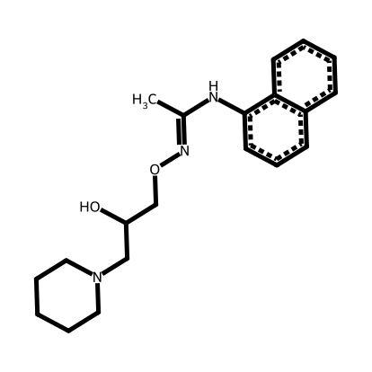 CC(=NOCC(O)CN1CCCCC1)Nc1cccc2ccccc12